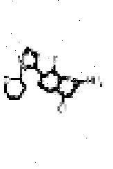 Nc1cc(Cl)c2ccc(-c3ccnn3C3CCCCO3)c(F)c2n1